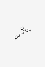 [CH2]OCCCC(=O)O